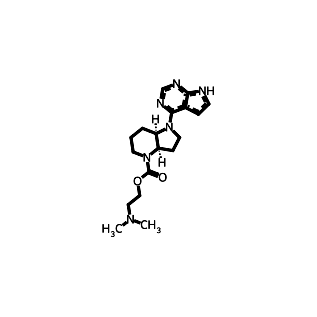 CN(C)CCOC(=O)N1CCC[C@@H]2[C@H]1CCN2c1ncnc2[nH]ccc12